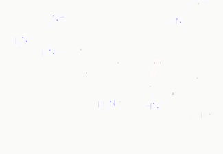 N=C(N)NCCC[C@@H](N)C(=O)N[C@@H](C=O)CCCNN